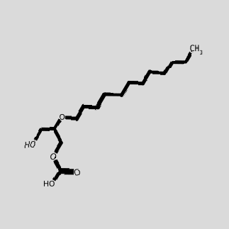 CCCCCCCCCCCCOC(CO)COC(=O)O